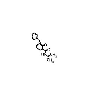 C=C(C)NC(=O)c1cccn(Cc2ccccc2)c1=O